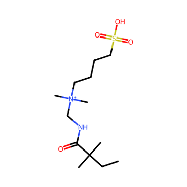 CCC(C)(C)C(=O)NC[N+](C)(C)CCCCS(=O)(=O)O